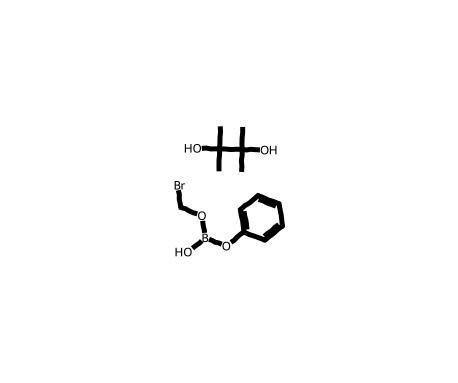 CC(C)(O)C(C)(C)O.OB(OCBr)Oc1ccccc1